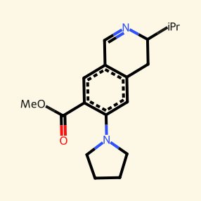 COC(=O)c1cc2c(cc1N1CCCC1)CC(C(C)C)N=C2